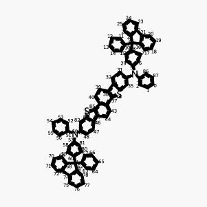 c1ccc(N(c2ccc(C3(c4ccccc4)c4ccccc4-c4ccccc43)cc2)c2ccc3c(c2)sc2c3ccc3c2ccc2c4ccc(N(c5ccccc5)c5ccc(C6(c7ccccc7)c7ccccc7-c7ccccc76)cc5)cc4sc23)cc1